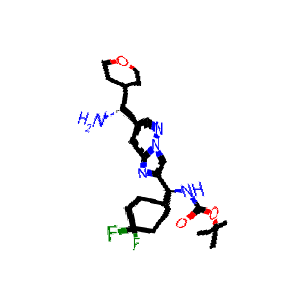 CC(C)(C)OC(=O)N[C@H](c1cn2ncc([C@H](N)C3CCOCC3)cc2n1)C1CCC(F)(F)CC1